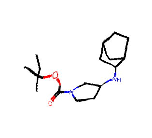 CC(C)(C)OC(=O)N1CC[C@H](NC2CC3CCC2C3)C1